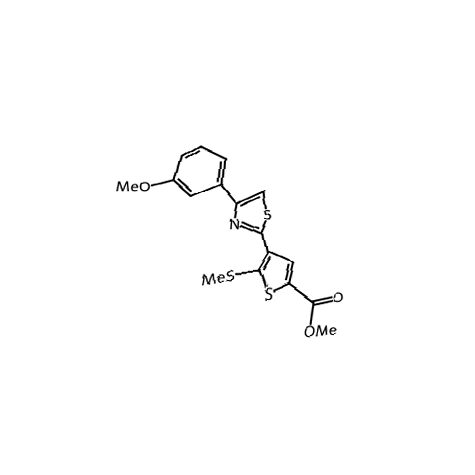 COC(=O)c1cc(-c2nc(-c3cccc(OC)c3)cs2)c(SC)s1